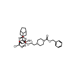 Nc1nnc(Cl)cc1N1CC2CCC(C1)N2c1nccc(OCCN2CCN(C(=O)OCc3ccccc3)CC2)n1